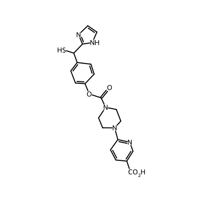 O=C(O)c1ccc(N2CCN(C(=O)Oc3ccc(C(S)c4ncc[nH]4)cc3)CC2)nc1